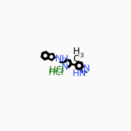 Cc1cc2nc[nH]c2cc1-c1ccc(CNC2Cc3ccccc3C2)nc1.Cl.Cl